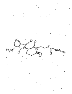 CNCC(=O)OCCN1C(=O)CCC(N2C(=O)c3cccc(N)c3C2=O)C1=O